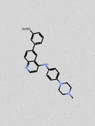 CC(=O)Nc1cccc(-c2ccc3nccc(Nc4ccc(N5CCN(C)CC5)cc4)c3c2)c1